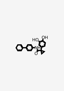 O=C(Nc1ccc(C2=CCCC=C2)cc1)C1(c2ccc(O)c(O)c2)CC1